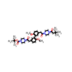 COc1ccc(CC(=O)N2CCN(C(=O)CC(C)(C)C)CC2)cc1-c1cc(CC(=O)N2CCN(C(=O)OC(C)(C)C)CC2)ccc1OC